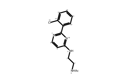 CC(=O)NCCNc1ccnc(-c2ccccc2Cl)n1